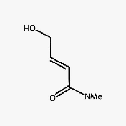 CNC(=O)C=CCO